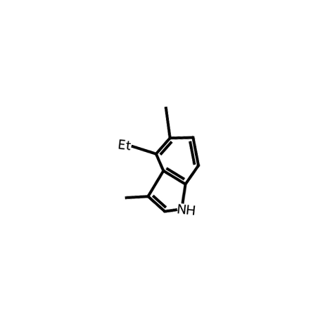 CCc1c(C)ccc2[nH]cc(C)c12